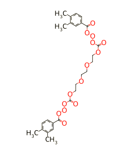 Cc1ccc(C(=O)OOOC(=O)OCCOCCOCCOC(=O)OOOC(=O)c2ccc(C)c(C)c2)cc1C